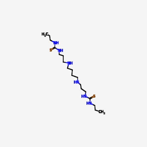 CCCNC(=S)NCCCNCCCCNCCCNC(=S)NCCC